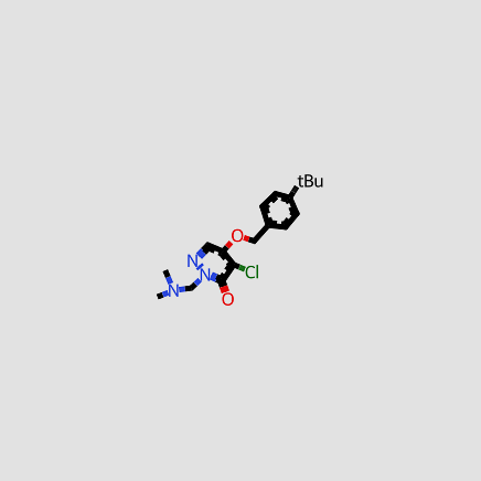 CN(C)Cn1ncc(OCc2ccc(C(C)(C)C)cc2)c(Cl)c1=O